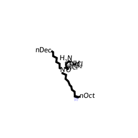 CCCCCCCC/C=C\CCCCCCCCN(CCCCCCCCCCCCCCCC)C(=O)CC(N)N.Cl.Cl.Cl